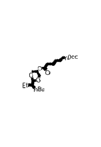 CCCCCCCCCCCCCCCC(=O)OC1COC(C(CC)CCCC)OC1